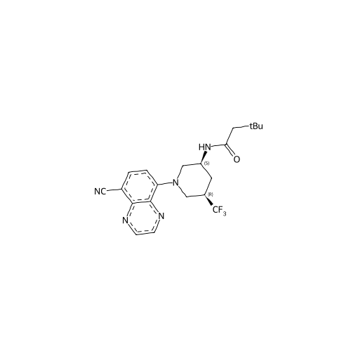 CC(C)(C)CC(=O)N[C@H]1C[C@@H](C(F)(F)F)CN(c2ccc(C#N)c3nccnc23)C1